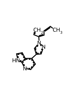 C=C/C(=C\C=C/C)n1cc(-c2ccnc3[nH]ccc23)cn1